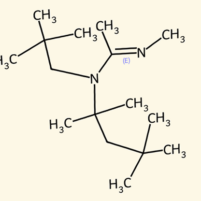 C/N=C(\C)N(CC(C)(C)C)C(C)(C)CC(C)(C)C